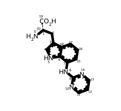 N[C@@H](Cc1c[nH]c2c(Nc3ncccn3)cccc12)C(=O)O